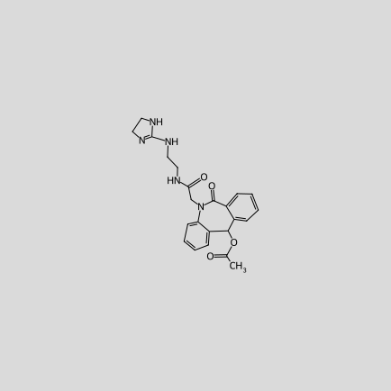 CC(=O)OC1c2ccccc2C(=O)N(CC(=O)NCCNC2=NCCN2)c2ccccc21